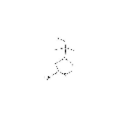 CCC(C)(C)N1CCSC(N)C1